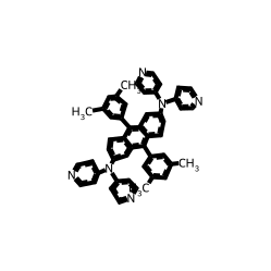 Cc1cc(C)cc(-c2c3ccc(N(c4ccncc4)c4ccncc4)cc3c(-c3cc(C)cc(C)c3)c3ccc(N(c4ccncc4)c4ccncc4)cc23)c1